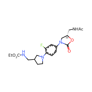 CCOC(=O)NCC1CCN(c2ccc(N3C[C@H](CNC(C)=O)OC3=O)cc2F)C1